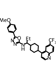 CCC(Nc1nnc(-c2ccc(OC)cc2)o1)C1CCC(c2ccnc3ccc(C(F)(F)F)cc23)CC1